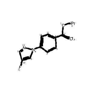 CC(C)OC(=O)c1ccc(-n2cc(F)cn2)cc1